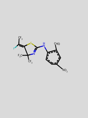 O=Cc1cc([N+](=O)[O-])ccc1NC1=NC(C(F)(F)F)(C(F)(F)F)C(=C(F)C(F)(F)F)S1